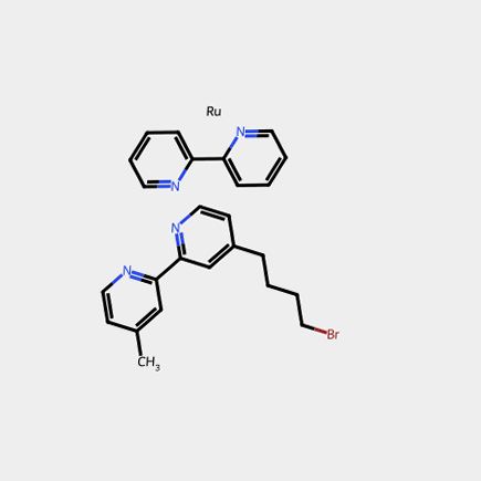 Cc1ccnc(-c2cc(CCCCBr)ccn2)c1.[Ru].c1ccc(-c2ccccn2)nc1